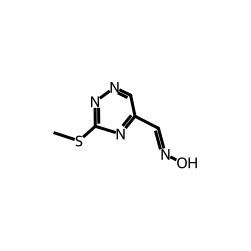 CSc1nncc(C=NO)n1